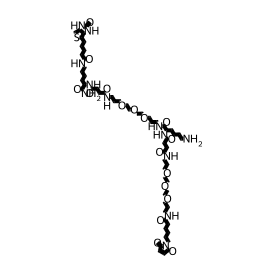 NCCCCC(NC(=O)CCC(=O)NCCCOCCOCCOCCCNC(=O)CCCCCN1C(=O)C=CC1=O)C(=O)NCCCOCCOCCOCCCNC(=O)CCC(=O)NC(CCCCNC(=O)CCCCC1SCC2NC(=O)NC21)C(N)=O